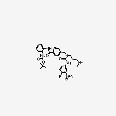 CN(C)CCCN(Cc1ccc(C(=O)Nc2ccccc2NC(=O)OC(C)(C)C)cc1)C(=O)Nc1ccc(F)c([N+](=O)[O-])c1